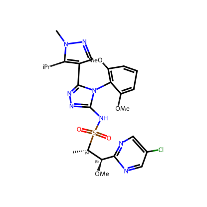 COc1cccc(OC)c1-n1c(NS(=O)(=O)[C@@H](C)[C@H](OC)c2ncc(Cl)cn2)nnc1-c1cnn(C)c1C(C)C